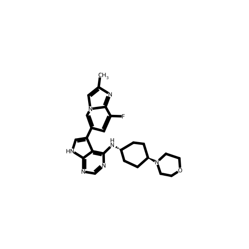 Cc1cn2cc(-c3c[nH]c4ncnc(N[C@H]5CC[C@H](N6CCOCC6)CC5)c34)cc(F)c2n1